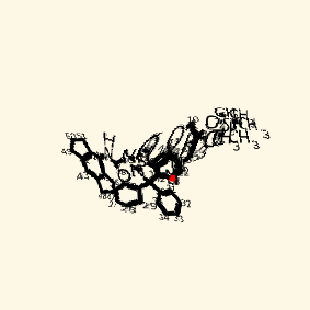 CC(C)(C)[Si](C)(C)O[C@@]1(C)COc2c(S(=O)(=NC(c3ccccc3)(c3ccccc3)c3ccccc3)NC(=O)Nc3c4c(cc5c3CCC5)CCC4)cnn2C1